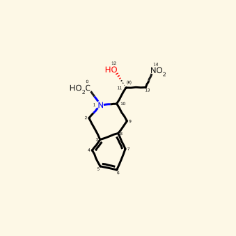 O=C(O)N1Cc2ccccc2CC1[C@H](O)C[N+](=O)[O-]